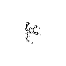 C#CO[Si](CCCN)(OCC)OCC